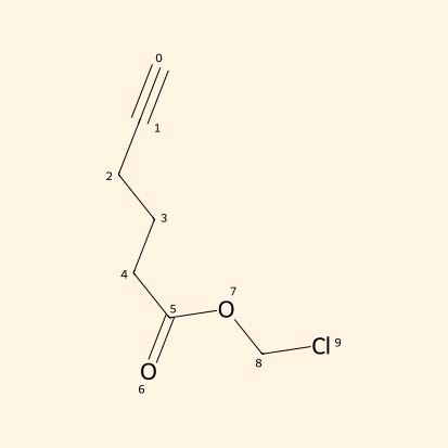 C#CCCCC(=O)OCCl